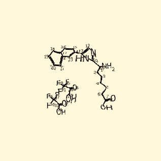 N[C@@H](CCCCCC(=O)O)c1ncc(-c2ccc3ccccc3c2)[nH]1.O=C(O)C(F)(F)F.O=C(O)C(F)(F)F